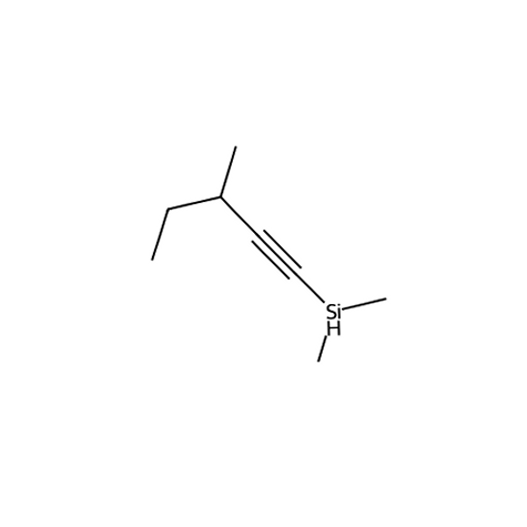 CCC(C)C#C[SiH](C)C